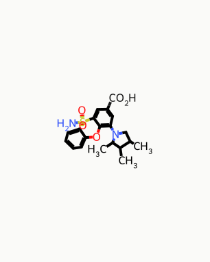 CC1CN(c2cc(C(=O)O)cc(S(N)(=O)=O)c2Oc2ccccc2)C(C)C1C